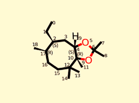 CC[C@H]1C[C@@H]2OC(C)(C)O[C@]2(C)C(C)(C)CC[C@H]1C